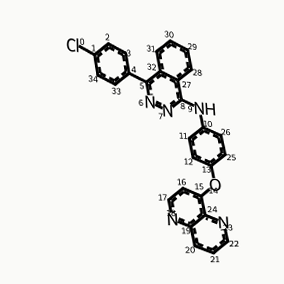 Clc1ccc(-c2nnc(Nc3ccc(Oc4ccnc5cccnc45)cc3)c3ccccc23)cc1